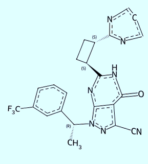 C[C@H](c1cccc(C(F)(F)F)c1)n1nc(C#N)c2c(=O)[nH]c([C@H]3CC[C@@H]3c3ncccn3)nc21